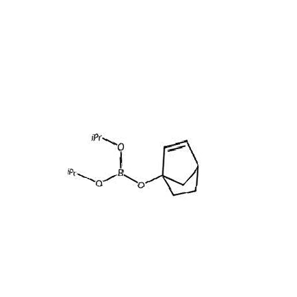 CC(C)OB(OC(C)C)OC12C=CC(CC1)C2